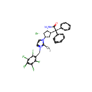 Cc1n(C2CCC(C(C(N)=O)(c3ccccc3)c3ccccc3)C2)cc[n+]1Cc1c(F)c(F)c(F)c(F)c1F.[Br-]